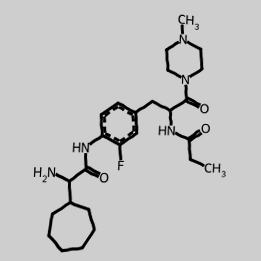 CCC(=O)NC(Cc1ccc(NC(=O)C(N)C2CCCCCC2)c(F)c1)C(=O)N1CCN(C)CC1